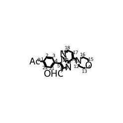 CC(=O)c1ccc(-c2c(C=O)nc3c(N4CCOCC4)ccnn23)cc1